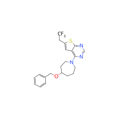 FC(F)(F)Cc1cc2c(N3CCCC(OCc4ccccc4)CC3)ncnc2s1